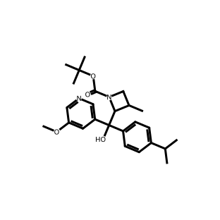 COc1cncc(C(O)(c2ccc(C(C)C)cc2)C2C(C)CN2C(=O)OC(C)(C)C)c1